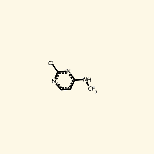 FC(F)(F)Nc1ccnc(Cl)n1